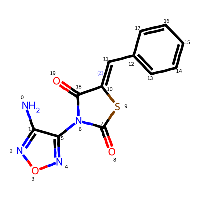 Nc1nonc1N1C(=O)S/C(=C\c2ccccc2)C1=O